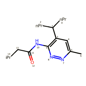 CCCC(CCC)c1cc(C)nnc1NC(=O)CC(C)C